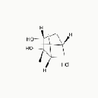 CC1(C)[C@@H]2C[C@@H](O)[C@@](C)(O)[C@H]1C2.Cl